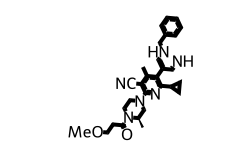 COCCC(=O)N1CCN(c2nc(C3CC3)c(/C(C=N)=C/NCc3ccccc3)c(C)c2C#N)C[C@H]1C